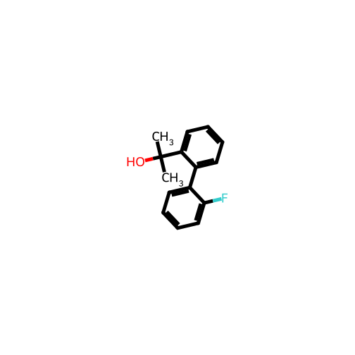 CC(C)(O)c1ccccc1-c1ccccc1F